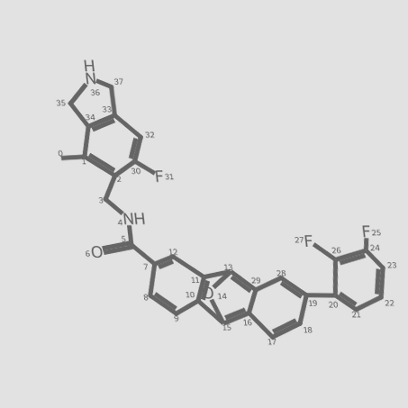 Cc1c(CNC(=O)c2ccc3c(c2)c2oc3c3ccc(-c4cccc(F)c4F)cc32)c(F)cc2c1CNC2